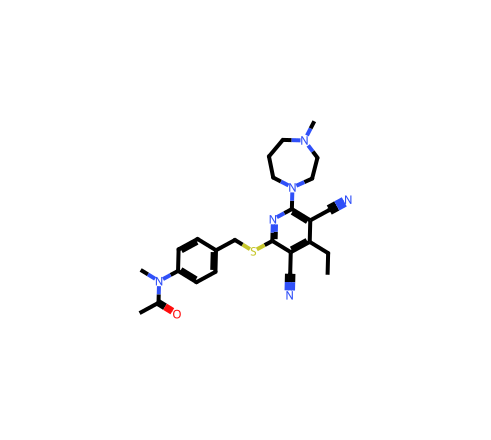 CCc1c(C#N)c(SCc2ccc(N(C)C(C)=O)cc2)nc(N2CCCN(C)CC2)c1C#N